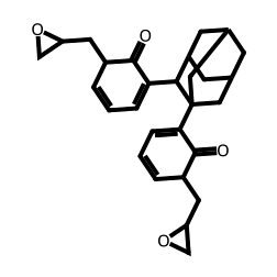 O=C1C(C2C3CC4CC(C3)CC2(C2=CC=CC(CC3CO3)C2=O)C4)=CC=CC1CC1CO1